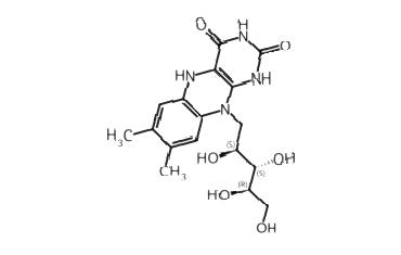 Cc1cc2c(cc1C)N(C[C@H](O)[C@H](O)[C@H](O)CO)c1[nH]c(=O)[nH]c(=O)c1N2